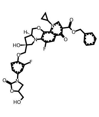 O=C(OCc1ccccc1)c1cn(C2CC2)c2c3c(c(F)cc2c1=O)N1C[C@](O)(COc2ccc(N4CC(CO)OC4=O)cc2F)C[C@H]1CO3